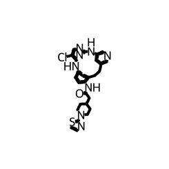 O=C(CC1CCN(c2nccs2)CC1)Nc1ccc2cc1CCc1cncc(c1)Nc1ncc(Cl)c(n1)N2